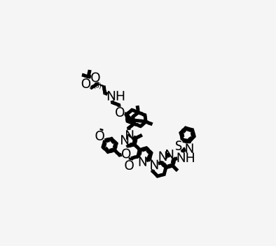 COc1ccc(COC(=O)c2nc(N3CCCc4c3nnc(Nc3nc5ccccc5s3)c4C)ccc2-c2cnn(CC34CC5(C)CC(C)(C3)CC(OCCNCC[C@H]3COC(C)(C)O3)(C5)C4)c2C)cc1